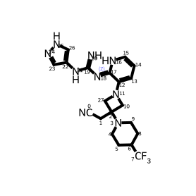 N#CCC1(N2CCC(C(F)(F)F)CC2)CN(c2ccc[nH]/c2=N\C(=N)Nc2cn[nH]c2)C1